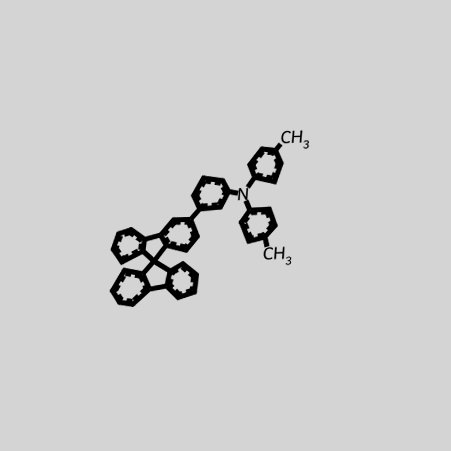 Cc1ccc(N(c2ccc(C)cc2)c2cccc(-c3ccc4c(c3)-c3ccccc3C43c4ccccc4-c4ccccc43)c2)cc1